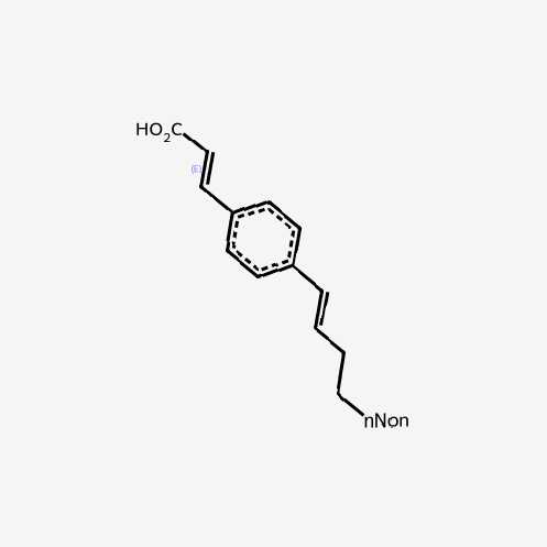 CCCCCCCCCCCC=Cc1ccc(/C=C/C(=O)O)cc1